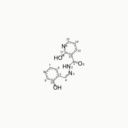 O=C(N/N=C\c1ccccc1O)c1cccnc1O